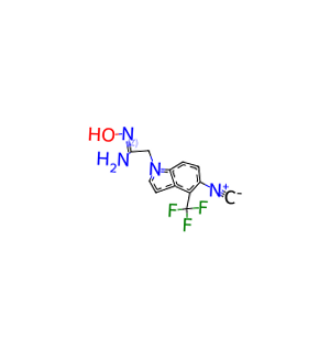 [C-]#[N+]c1ccc2c(ccn2C/C(N)=N/O)c1C(F)(F)F